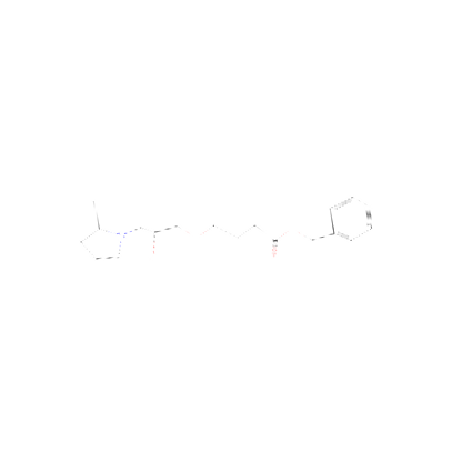 CC1CCCN1CC(O)COCCCC(=O)OCc1ccccc1